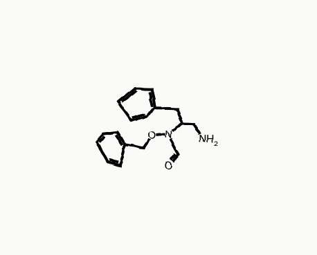 NCC(Cc1ccccc1)N(C=O)OCc1ccccc1